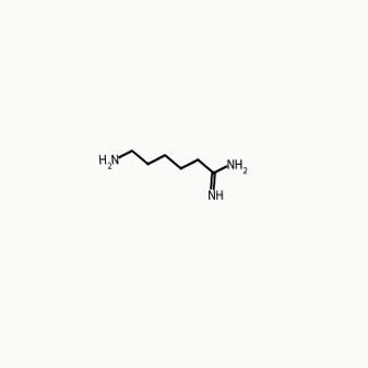 N=C(N)CCCCCN